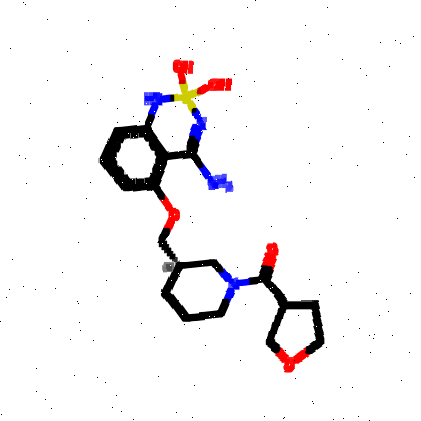 NC1=NS(O)(O)Nc2cccc(OC[C@H]3CCCN(C(=O)C4CCOC4)C3)c21